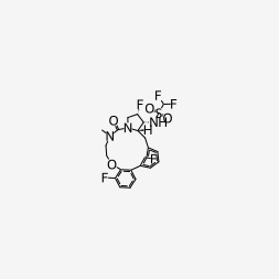 CN1CCOc2c(F)cccc2-c2cccc(c2F)C[C@H]2[C@@H](NS(=O)(=O)C(F)F)[C@@H](F)CN2C1=O